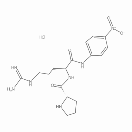 Cl.N=C(N)NCCC[C@H](NC(=O)[C@@H]1CCCN1)C(=O)Nc1ccc([N+](=O)[O-])cc1